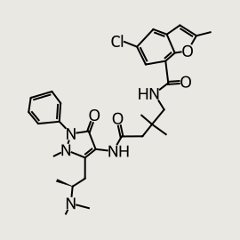 Cc1cc2cc(Cl)cc(C(=O)NCC(C)(C)CC(=O)Nc3c(C[C@H](C)N(C)C)n(C)n(-c4ccccc4)c3=O)c2o1